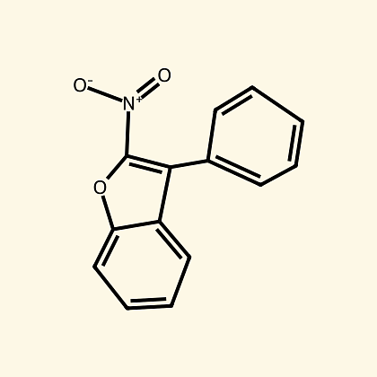 O=[N+]([O-])c1oc2ccccc2c1-c1ccccc1